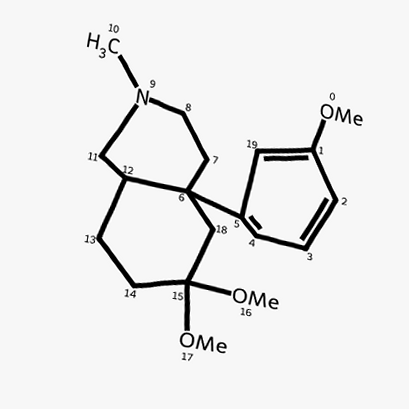 COc1cccc(C23CCN(C)CC2CCC(OC)(OC)C3)c1